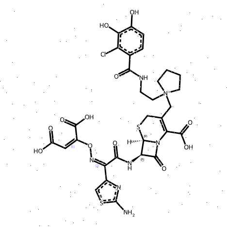 Nc1nc(/C(=N/O/C(=C/C(=O)O)C(=O)O)C(=O)N[C@@H]2C(=O)N3C(C(=O)O)=C(C[N+]4(CCNC(=O)c5ccc(O)c(O)c5Cl)CCCC4)CS[C@H]23)cs1